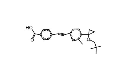 Cc1cc(C#Cc2ccc(C(=O)O)cc2)ccc1C1(OCC(C)(C)C)CC1